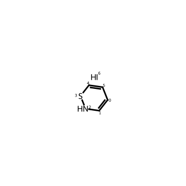 C1=CNSC=C1.I